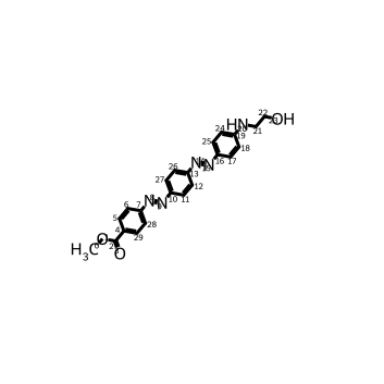 COC(=O)c1ccc(N=Nc2ccc(N=Nc3ccc(NCCO)cc3)cc2)cc1